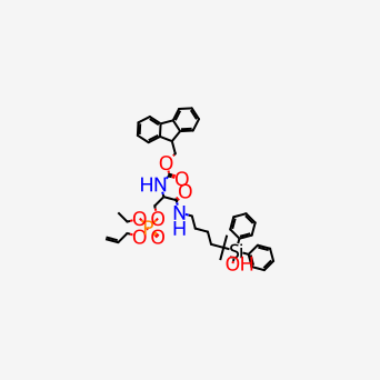 C=CCOP(=O)(OCC)OCC(NC(=O)OCC1c2ccccc2-c2ccccc21)C(=O)NCCCCC(C)(C)[Si](O)(c1ccccc1)c1ccccc1